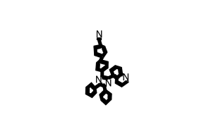 N#Cc1ccc(-c2ccc(-c3nc(-c4ccccc4)c(-c4ccccc4)nc3-c3cccc4ncccc34)cc2)cc1